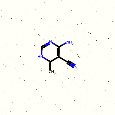 CC1NC=NC(N)=C1C#N